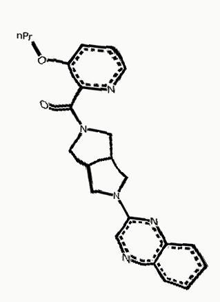 CCCOc1cccnc1C(=O)N1CC2CN(c3cnc4ccccc4n3)CC2C1